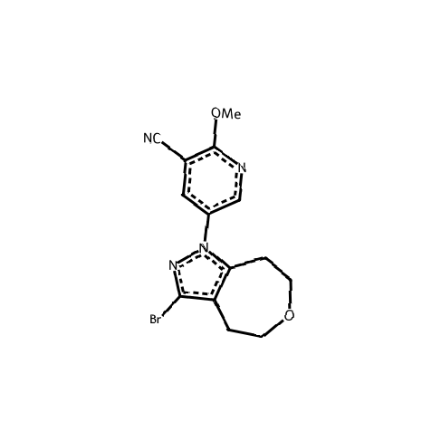 COc1ncc(-n2nc(Br)c3c2CCOCC3)cc1C#N